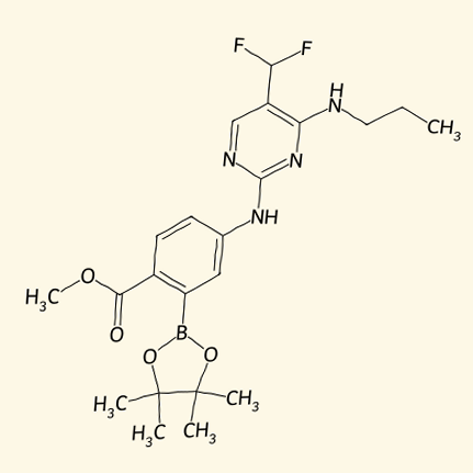 CCCNc1nc(Nc2ccc(C(=O)OC)c(B3OC(C)(C)C(C)(C)O3)c2)ncc1C(F)F